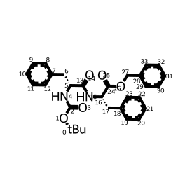 CC(C)(C)OC(=O)N[C@H](Cc1ccccc1)C(=O)N[C@@H](Cc1ccccc1)C(=O)OCc1ccccc1